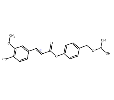 COc1cc(/C=C/C(=O)Oc2ccc(CON(O)O)cc2)ccc1O